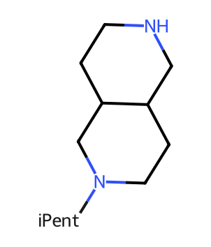 CCCC(C)N1CCC2CNCCC2C1